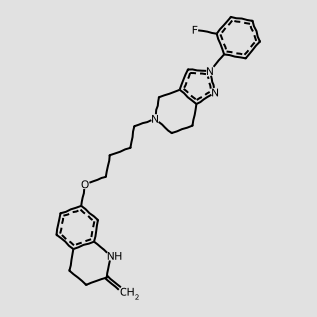 C=C1CCc2ccc(OCCCCN3CCc4nn(-c5ccccc5F)cc4C3)cc2N1